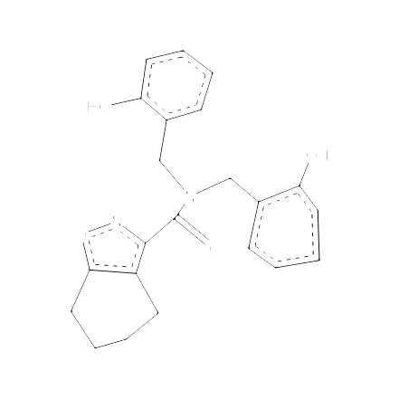 O=C(c1noc2c1CCCC2)N(Cc1ccccc1O)Cc1ccccc1O